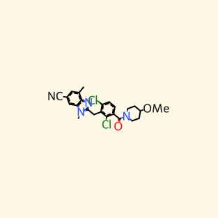 COC1CCN(C(=O)c2ccc(Cl)c(Cc3nc4c(C)cc(C#N)cc4n3C)c2Cl)CC1